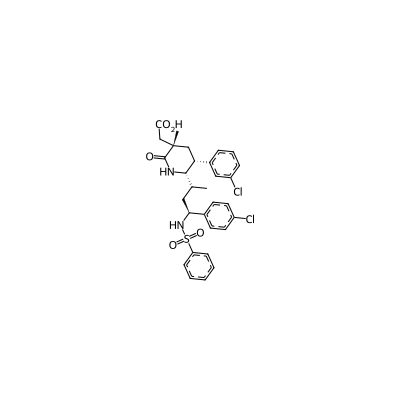 CC(C[C@H](NS(=O)(=O)c1ccccc1)c1ccc(Cl)cc1)[C@@H]1NC(=O)[C@](C)(CC(=O)O)C[C@@H]1c1cccc(Cl)c1